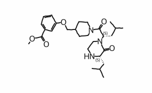 COC(=O)c1cccc(OCC2CCN(C(=O)[C@H](CC(C)C)N3CCN[C@@H](CC(C)C)C3=O)CC2)c1